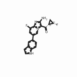 Nc1nc2c(F)cc(-c3ccc4[nH]ccc4c3)cn2c1C(=O)[C@@H]1C[C@@H]1F